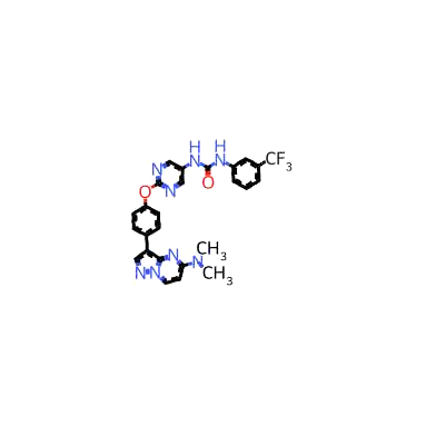 CN(C)c1ccn2ncc(-c3ccc(Oc4ncc(NC(=O)Nc5cccc(C(F)(F)F)c5)cn4)cc3)c2n1